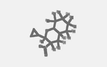 [2H]C1([2H])C2O[C@]([2H])(C3CC3)C([2H])([N+](=O)[O-])C([2H])([2H])C2([2H])C([2H])([2H])C([2H])([2H])C1([2H])[2H]